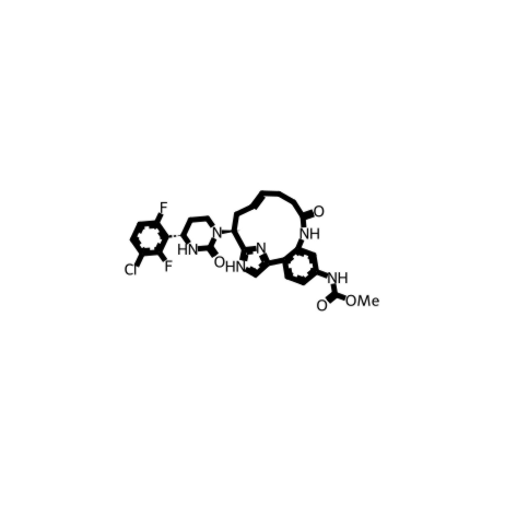 COC(=O)Nc1ccc2c(c1)NC(=O)CC/C=C/C[C@H](N1CC[C@@H](c3c(F)ccc(Cl)c3F)NC1=O)c1nc-2c[nH]1